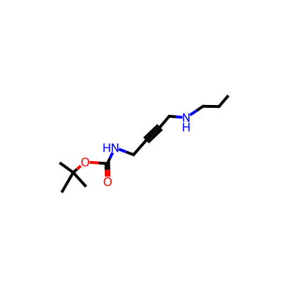 CCCNCC#CCNC(=O)OC(C)(C)C